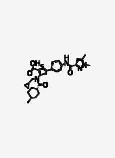 Cc1cc(C(=O)Nc2ccc(-c3cc(N(CC4CC4)C(=O)[C@H]4CC[C@H](C)CC4)c(C(=O)O)s3)cc2)nn1C